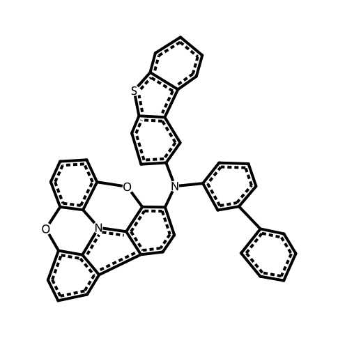 c1ccc(-c2cccc(N(c3ccc4sc5ccccc5c4c3)c3ccc4c5cccc6c5n5c4c3Oc3cccc(c3-5)O6)c2)cc1